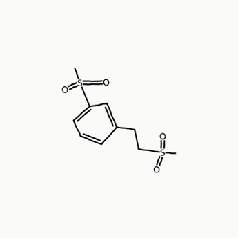 CS(=O)(=O)CCc1cccc(S(C)(=O)=O)c1